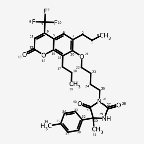 CCCc1cc2c(C(F)(F)F)cc(=O)oc2c(CCC)c1OCCCCN1C(=O)NC(C)(c2ccc(C)cc2)C1=O